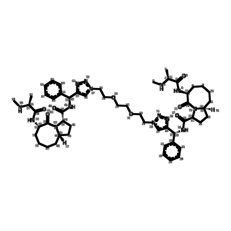 CN[C@@H](C)C(=O)N[C@H]1CCCC[C@H]2CC[C@@H](C(=O)N[C@H](c3ccccc3)c3cn(CCOCCOCCn4cc([C@@H](NC(=O)[C@@H]5CC[C@@H]6CCCC[C@H](NC(=O)[C@H](C)NC)C(=O)N65)c5ccccc5)nn4)nn3)N2C1=O